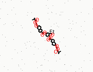 C=C(C)C(=O)OCOc1ccc2cc(C(=O)Oc3ccc(OC(=O)c4ccc5cc(OCOC(=O)C(=C)C)ccc5c4)c(C(=O)CC)c3)ccc2c1